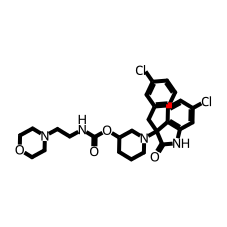 O=C(NCCN1CCOCC1)OC1CCCN(C2(Cc3cccc(Cl)c3)C(=O)Nc3cc(Cl)ccc32)C1